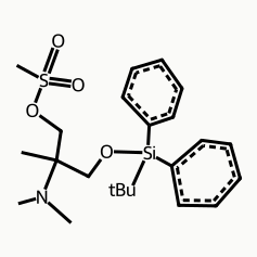 CN(C)C(C)(CO[Si](c1ccccc1)(c1ccccc1)C(C)(C)C)COS(C)(=O)=O